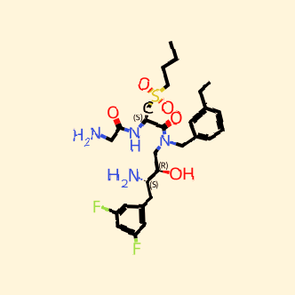 CCCCS(=O)(=O)C[C@@H](NC(=O)CN)C(=O)N(Cc1cccc(CC)c1)C[C@@H](O)[C@@H](N)Cc1cc(F)cc(F)c1